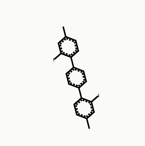 Cc1ccc(-c2ccc(-c3ccc(C)cc3I)cc2)c(I)c1